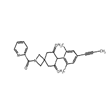 CC#Cc1cc(C)c(C2C(=O)CC3(CC2=O)CN(C(=O)c2ccccn2)C3)c(C)c1